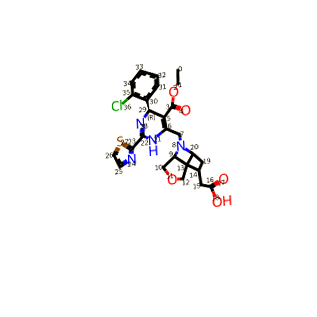 CCOC(=O)C1=C(CN2C3COCC34C(CC(=O)O)CC24)NC(c2nccs2)=N[C@H]1c1ccccc1Cl